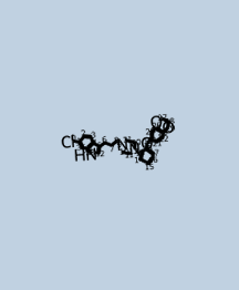 Clc1ccc2c(CCCN3CCN(c4ccccc4Oc4ccc5c(c4)OCCO5)CC3)c[nH]c2c1